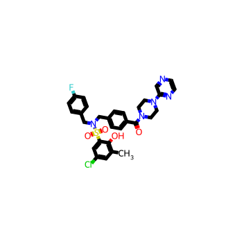 Cc1cc(Cl)cc(S(=O)(=O)N(Cc2ccc(F)cc2)Cc2ccc(C(=O)N3CCN(c4cnccn4)CC3)cc2)c1O